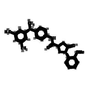 COc1ccccc1N1CC(C(=O)Nc2ccc(N(C)c3nc(C)cc(C)n3)cc2)CC1=O